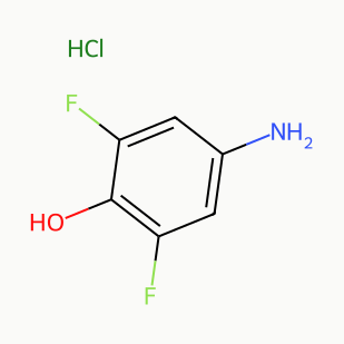 Cl.Nc1cc(F)c(O)c(F)c1